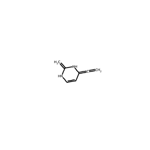 C=C=C1C=CNC(=C)N1